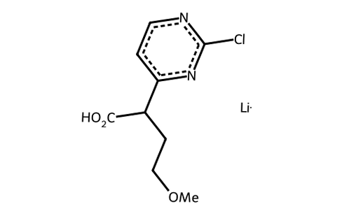 COCCC(C(=O)O)c1ccnc(Cl)n1.[Li]